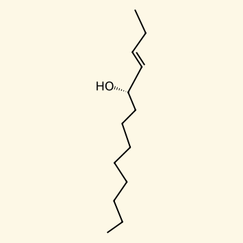 CCC=C[C@@H](O)CCCCCCCC